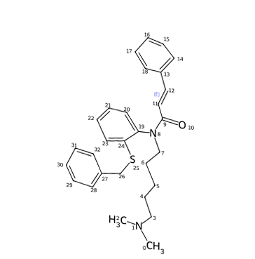 CN(C)CCCCCN(C(=O)/C=C/c1ccccc1)c1ccccc1SCc1ccccc1